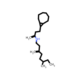 C=C(CCNC(=C)CCC1C2CCCCCCC21)CCC(C)CC